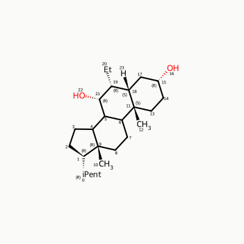 CCC[C@@H](C)[C@H]1CCC2C3C(CC[C@@]21C)[C@@]1(C)CC[C@@H](O)C[C@H]1[C@@H](CC)[C@H]3O